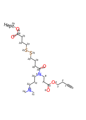 C#CCCOC(=O)CCN(CCCN(C)C)C(=O)CCCSSCCCC(=O)OCCCCCCC